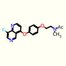 CC(=O)N(C)CCOc1ccc(Oc2ccnc3c(F)cncc23)cc1